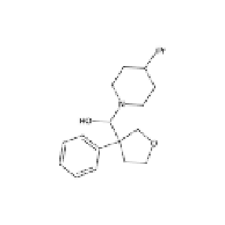 CC(C)C1CCN(C(O)C2(c3ccccc3)CCOC2)CC1